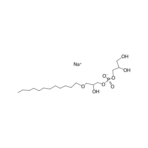 CCCCCCCCCCCCOCC(O)COP(=O)([O-])OCC(O)CO.[Na+]